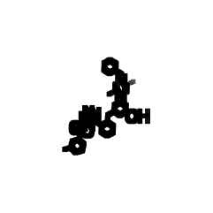 Cc1cccc(C(=O)On2nnnc2-c2ccccc2Cc2cc(O)cc(N3C[C@@H](C)N(Cc4ccccc4)C[C@@H]3C)c2)c1